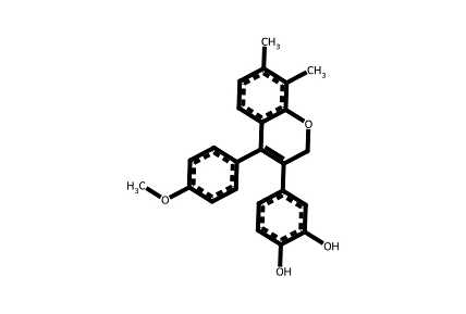 COc1ccc(C2=C(c3ccc(O)c(O)c3)COc3c2ccc(C)c3C)cc1